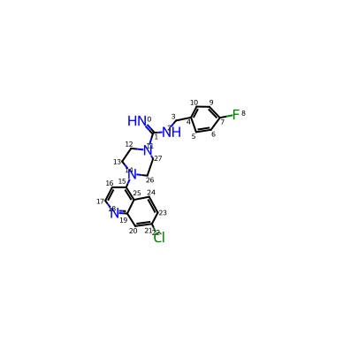 N=C(NCc1ccc(F)cc1)N1CCN(c2ccnc3cc(Cl)ccc23)CC1